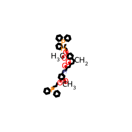 C=C(CC(=O)CC(=O)/C=C/c1ccc(OCCCP(c2ccccc2)c2ccccc2)c(OC)c1)c1ccc(OCCC[PH](c2ccccc2)(c2ccccc2)c2ccccc2)c(OC)c1